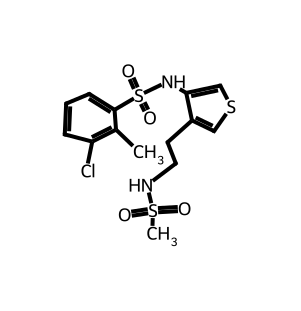 Cc1c(Cl)cccc1S(=O)(=O)Nc1cscc1CCNS(C)(=O)=O